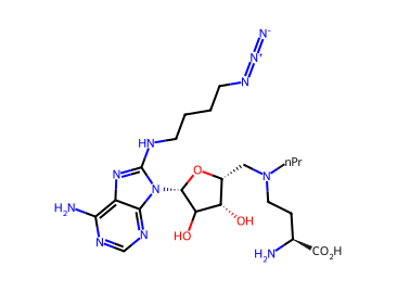 CCCN(CC[C@H](N)C(=O)O)C[C@H]1O[C@@H](n2c(NCCCCN=[N+]=[N-])nc3c(N)ncnc32)C(O)[C@H]1O